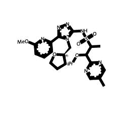 COc1cccc(-c2nnc(NS(=O)(=O)C(C)C(OC(C)C)c3ncc(C)cn3)n2C[C@H]2CCCO2)n1